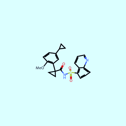 COc1ccc(C2CC2)cc1C1(C(=O)NS(=O)(=O)c2cccc3ncccc23)CC1